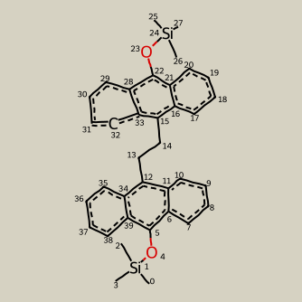 C[Si](C)(C)Oc1c2ccccc2c(CCc2c3ccccc3c(O[Si](C)(C)C)c3ccccc23)c2ccccc12